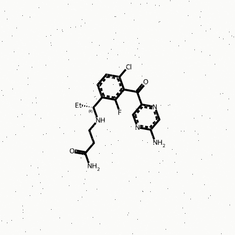 CC[C@@H](NCCC(N)=O)c1ccc(Cl)c(C(=O)c2cnc(N)cn2)c1F